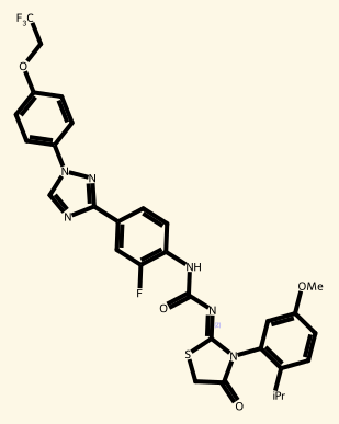 COc1ccc(C(C)C)c(N2C(=O)CS/C2=N\C(=O)Nc2ccc(-c3ncn(-c4ccc(OCC(F)(F)F)cc4)n3)cc2F)c1